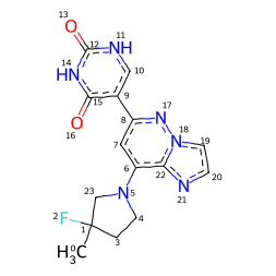 CC1(F)CCN(c2cc(-c3c[nH]c(=O)[nH]c3=O)nn3ccnc23)C1